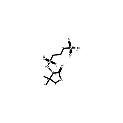 CC1(C)COC(=O)[C@@H]1OS(=O)(=O)CCCS(=O)(=O)O